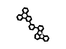 c1cc(-c2ccc3c4ccccc4c4ccccc4c3c2)cc(-c2cccc3c2c2cccc4c5ccccc5n3c42)c1